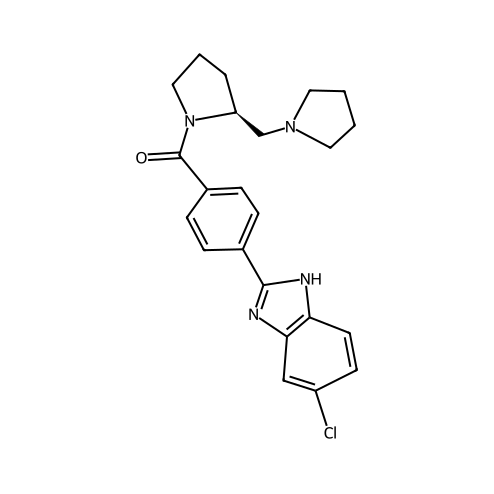 O=C(c1ccc(-c2nc3cc(Cl)ccc3[nH]2)cc1)N1CCC[C@H]1CN1CCCC1